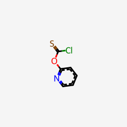 S=C(Cl)Oc1ccccn1